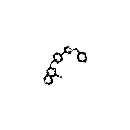 Oc1nc(Oc2ccc(-c3cnn(Cc4ccccc4)c3)cc2)nc2cnccc12